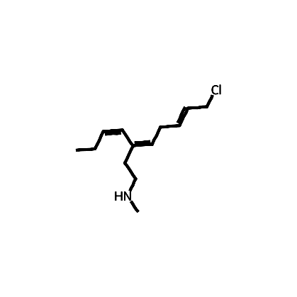 CC/C=C\C(=C/C/C=C/CCl)CCNC